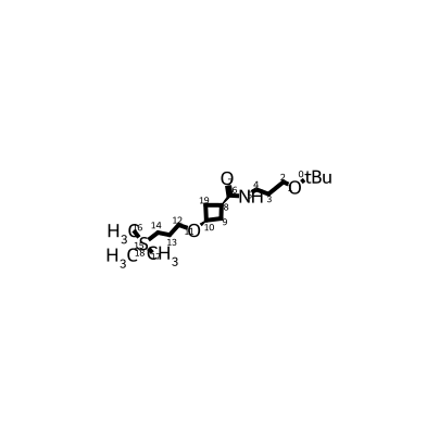 CC(C)(C)OCCCNC(=O)[C@H]1C[C@@H](OCCCS(C)(C)C)C1